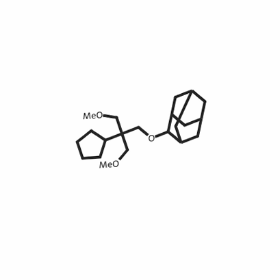 COCC(COC)(COC1C2CC3CC(C2)CC1C3)C1CCCC1